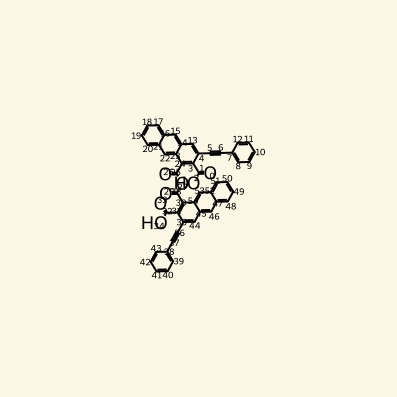 O=C(O)c1c(C#Cc2ccccc2)cc2cc3ccccc3cc2c1C(=O)OC(=O)c1c(C(=O)O)c(C#Cc2ccccc2)cc2cc3ccccc3cc12